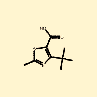 Cc1nc(C(C)(C)C)c(C(=O)O)s1